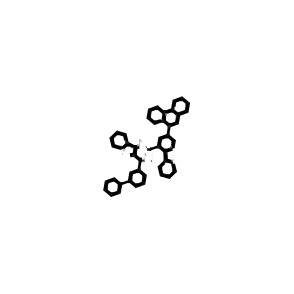 c1ccc(-c2cccc(-c3nc(-c4cc(-c5cc6ccccc6c6ccccc56)cc5oc6ccccc6c45)nc4c3sc3ccccc34)c2)cc1